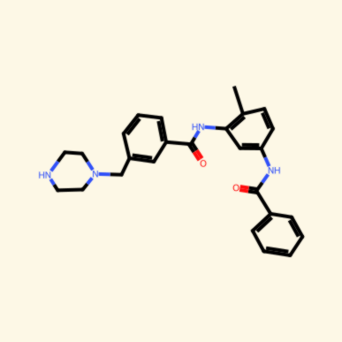 Cc1ccc(NC(=O)c2ccccc2)cc1NC(=O)c1cccc(CN2CCNCC2)c1